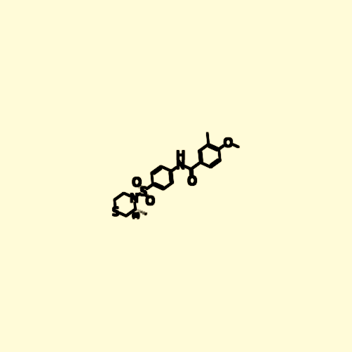 COc1ccc(C(=O)Nc2ccc(S(=O)(=O)N3CCSC[C@H]3C)cc2)cc1C